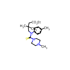 CCOC(=O)CC(C)(C)CN(C(=S)N1CCN(C)CC1)c1ccc(C)cc1